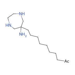 CC(=O)CCCCCCCCC1(N)CNCCNC1